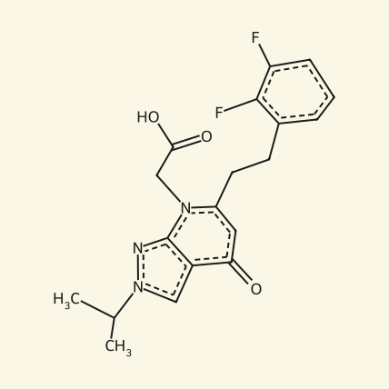 CC(C)n1cc2c(=O)cc(CCc3cccc(F)c3F)n(CC(=O)O)c2n1